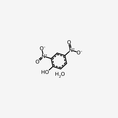 O.O=[N+]([O-])c1ccc(O)c([N+](=O)[O-])c1